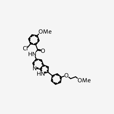 COCCOc1cccc(-c2cc3cc(NC(=O)c4cc(OC)ccc4Cl)cnc3[nH]2)c1